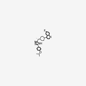 CC(C)Oc1ccc(-c2nnc([C@H](C)C3CCC(c4ccnc5ccc(F)cc45)CC3)[nH]2)cc1